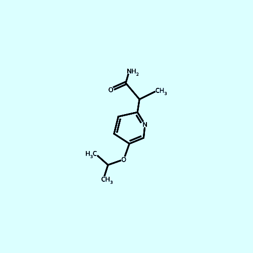 CC(C)Oc1ccc(C(C)C(N)=O)nc1